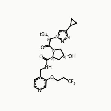 CC(C)(C)[C@@H](C(=O)N1C[C@H](O)C[C@H]1C(=O)NCc1ccncc1OCCC(F)(F)F)n1cc(C2CC2)nn1